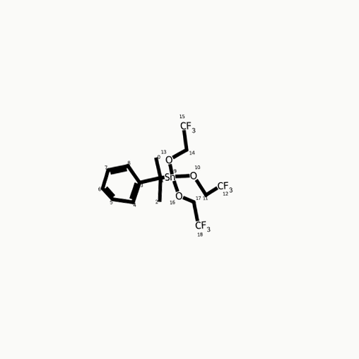 C[C](C)(c1ccccc1)[Sn]([O]CC(F)(F)F)([O]CC(F)(F)F)[O]CC(F)(F)F